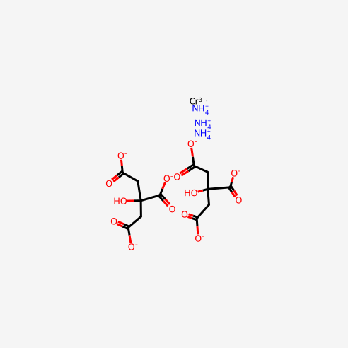 O=C([O-])CC(O)(CC(=O)[O-])C(=O)[O-].O=C([O-])CC(O)(CC(=O)[O-])C(=O)[O-].[Cr+3].[NH4+].[NH4+].[NH4+]